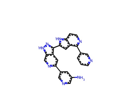 Nc1cncc(-c2cc3c(-c4cc5c(-c6cccnc6)nccc5[nH]4)n[nH]c3cn2)c1